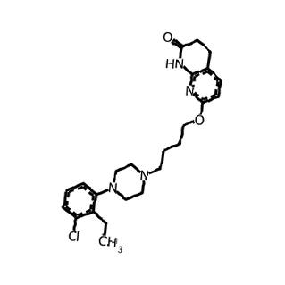 CCc1c(Cl)cccc1N1CCN(CCCCOc2ccc3c(n2)NC(=O)CC3)CC1